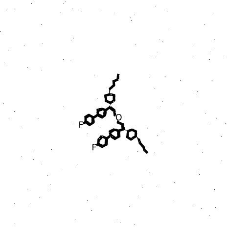 CCCCC[C@H]1CC[C@H](C(=CCOCC=C(c2ccc(-c3ccc(F)cc3)cc2)[C@H]2CC[C@H](CCCCC)CC2)c2ccc(-c3ccc(F)cc3)cc2)CC1